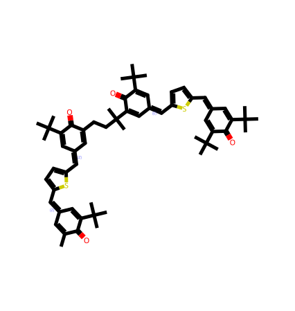 CC1=C/C(=C/c2ccc(/C=C3/C=C(CCC(C)(C)C4=C/C(=C/c5ccc(C=C6C=C(C(C)(C)C)C(=O)C(C(C)(C)C)=C6)s5)C=C(C(C)(C)C)C4=O)C(=O)C(C(C)(C)C)=C3)s2)C=C(C(C)(C)C)C1=O